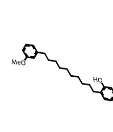 COc1cccc(CCCCCCCCCCc2ccccc2O)c1